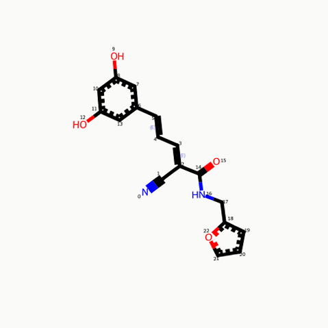 N#C/C(=C\C=C\c1cc(O)cc(O)c1)C(=O)NCc1ccco1